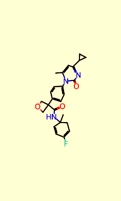 Cc1cc(C2CC2)nc(=O)n1-c1ccc(C2(C(=O)NC3(C)C=CC(F)=CC3)COC2)cc1